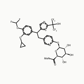 CNC(=O)[C@H]1O[C@@H](Oc2ccc(CC(c3ccc(OC(F)F)c(OC4CC4)c3)c3cnc(C(O)(C(F)(F)F)C(F)(F)F)s3)cn2)[C@H](O)[C@@H](O)[C@@H]1O